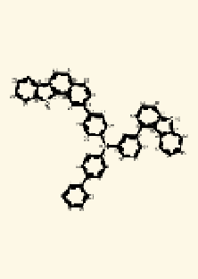 c1ccc(-c2ccc(N(c3ccc(-c4ccc5ccc6c7ccccc7sc6c5c4)cc3)c3cccc(-c4cccc5sc6ccccc6c45)c3)cc2)cc1